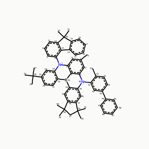 Cc1cc2c3c(c1)N(c1cccc4c1-c1ccccc1C4(C)C)c1cc(C(C)(C)C)ccc1B3c1cc3c(cc1N2c1cc(-c2ccccc2)ccc1C)C(C)(C)CC3(C)C